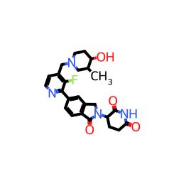 CC1CN(Cc2ccnc(-c3ccc4c(c3)CN(C3CCC(=O)NC3=O)C4=O)c2F)CCC1O